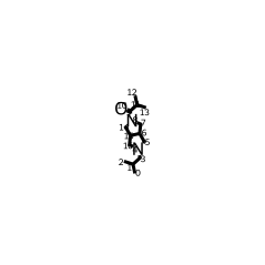 CC(C)CN1CC2CN(C(=O)C(C)C)CC2C1